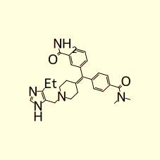 CCc1nc[nH]c1CN1CCC(=C(c2ccc(C(=O)N(C)C)cc2)c2cccc(C(N)=O)c2)CC1